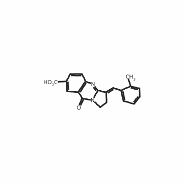 Cc1ccccc1/C=C1\CCn2c1nc1ccc(C(=O)O)cc1c2=O